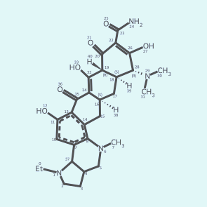 CCN1CCC2CN(C)c3c(cc(O)c4c3C[C@@H]3C[C@H]5[C@@H](C(=O)C(C(N)=O)=C(O)[C@@H]5N(C)C)C(O)=C3C4=O)C21